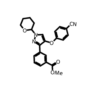 COC(=O)c1cccc(-c2nn(C3CCCCO3)cc2Oc2ccc(C#N)cc2)c1